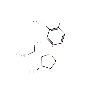 CNC(C(=O)O)[C@H]1[C@H](C)CC[SH]1c1ccc(Cl)c(OC)c1